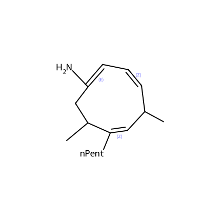 CCCCC/C1=C/C(C)/C=C\C=C(\N)CC1C